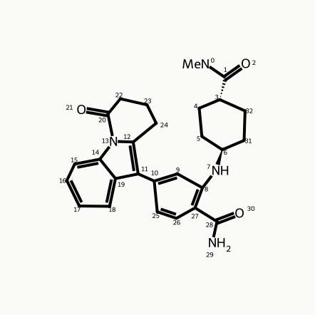 CNC(=O)[C@H]1CC[C@H](Nc2cc(-c3c4n(c5ccccc35)C(=O)CCC4)ccc2C(N)=O)CC1